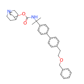 CC(C)(NC(=O)OC1CN2CCC1CC2)c1ccc(-c2ccc(CCOCc3ccccc3)cc2)cc1